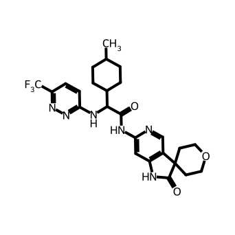 CC1CCC(C(Nc2ccc(C(F)(F)F)nn2)C(=O)Nc2cc3c(cn2)C2(CCOCC2)C(=O)N3)CC1